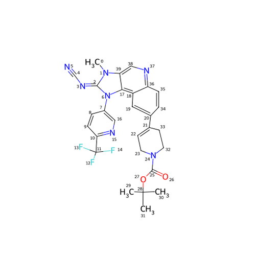 Cn1c(=NC#N)n(-c2ccc(C(F)(F)F)nc2)c2c3cc(C4=CCN(C(=O)OC(C)(C)C)CC4)ccc3ncc21